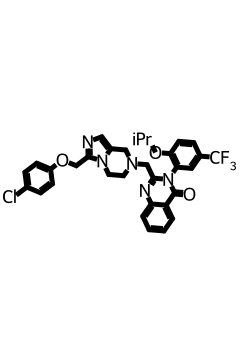 CC(C)Oc1ccc(C(F)(F)F)cc1-n1c(CN2CCn3c(cnc3COc3ccc(Cl)cc3)C2)nc2ccccc2c1=O